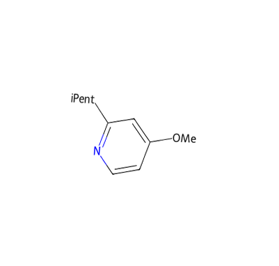 CCCC(C)c1cc(OC)ccn1